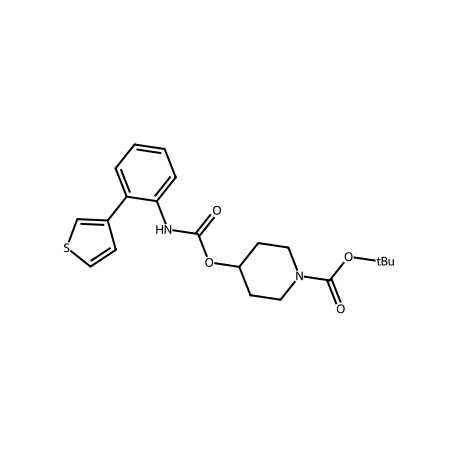 CC(C)(C)OC(=O)N1CCC(OC(=O)Nc2ccccc2-c2ccsc2)CC1